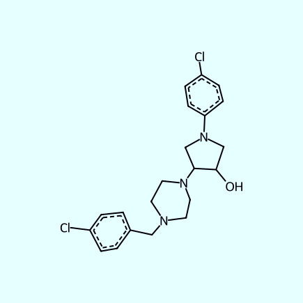 OC1CN(c2ccc(Cl)cc2)CC1N1CCN(Cc2ccc(Cl)cc2)CC1